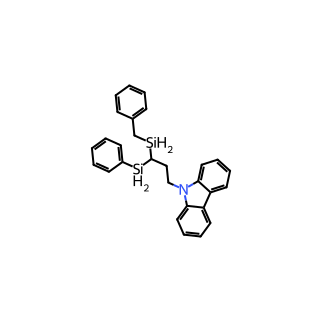 c1ccc(C[SiH2]C(CCn2c3ccccc3c3ccccc32)[SiH2]c2ccccc2)cc1